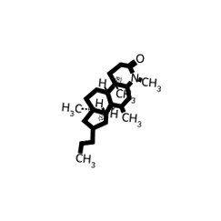 CCCC1C[C@H]2[C@@H]3C(C)CC4N(C)C(=O)CC[C@]4(C)[C@@H]3CC[C@]2(C)C1